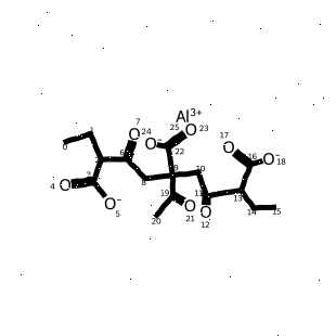 CCC(C(=O)[O-])C(=O)CC(CC(=O)C(CC)C(=O)[O-])(C(C)=O)C(=O)[O-].[Al+3]